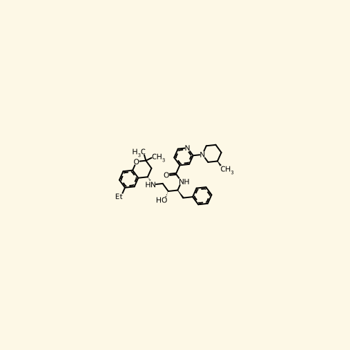 CCc1ccc2c(c1)[C@@H](NC[C@@H](O)[C@H](Cc1ccccc1)NC(=O)c1ccnc(N3CCC[C@@H](C)C3)c1)CC(C)(C)O2